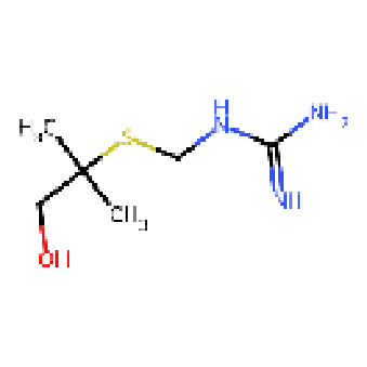 CC(C)(CO)SCNC(=N)N